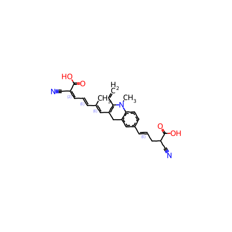 C=CC1=C(/C=C(C)/C=C/C=C(/C#N)C(=O)O)Cc2cc(/C=C/CC(C#N)C(=O)O)ccc2N1C